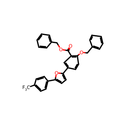 O=C(OCc1ccccc1)c1cc(-c2ccc(-c3ccc(C(F)(F)F)cc3)o2)ccc1OCc1ccccc1